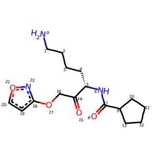 NCCCC[C@H](NC(=O)C1CCCC1)C(=O)COc1ccon1